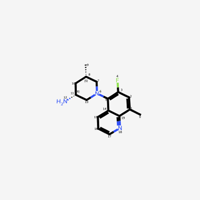 Cc1cc(F)c(N2C[C@@H](C)C[C@@H](N)C2)c2cccnc12